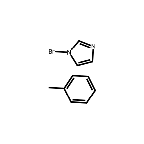 Brn1ccnc1.Cc1ccccc1